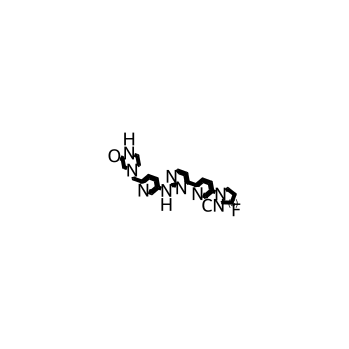 N#Cc1nc(-c2ccnc(Nc3ccc(CN4CCNC(=O)C4)nc3)n2)ccc1N1CC[C@H](F)C1